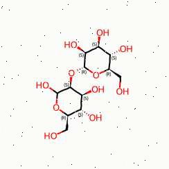 OC[C@H]1O[C@H](O[C@@H]2C(O)O[C@H](CO)[C@@H](O)[C@@H]2O)[C@@H](O)[C@@H](O)[C@@H]1O